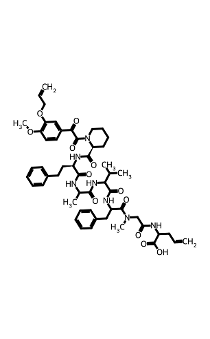 C=CCOc1cc(C(=O)C(=O)N2CCCC[C@H]2C(=O)N[C@H](CCc2ccccc2)C(=O)NC(C)C(=O)NC(C(=O)NC(Cc2ccccc2)C(=O)N(C)CC(=O)NC(CC=C)C(=O)O)C(C)C)ccc1OC